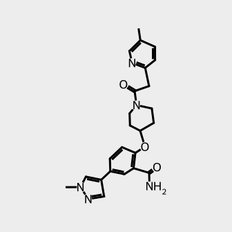 Cc1ccc(CC(=O)N2CCC(Oc3ccc(-c4cnn(C)c4)cc3C(N)=O)CC2)nc1